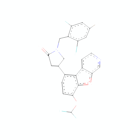 O=C1CC(c2ccc(OC(F)F)c3oc4cnccc4c23)CN1Cc1c(F)cc(Br)cc1F